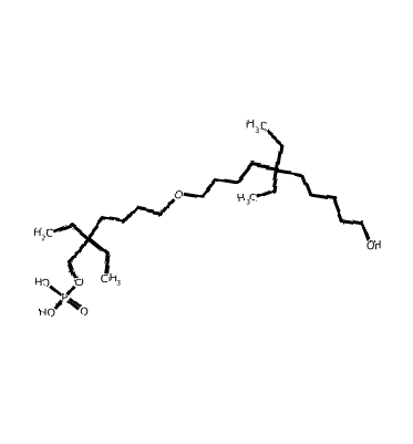 CCC(CC)(CCCCCO)CCCCOCCCCC(CC)(CC)COP(=O)(O)O